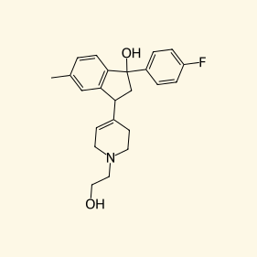 Cc1ccc2c(c1)C(C1=CCN(CCO)CC1)CC2(O)c1ccc(F)cc1